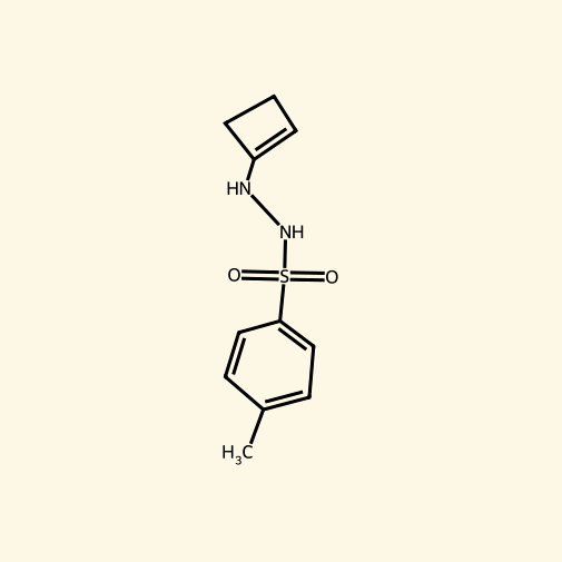 Cc1ccc(S(=O)(=O)NNC2=CCC2)cc1